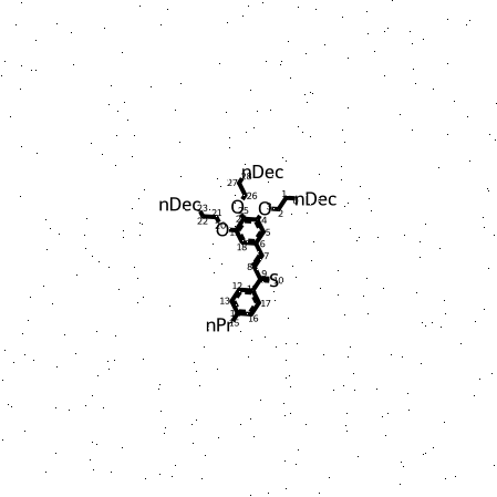 CCCCCCCCCCCCOc1cc(C=CC(=S)c2ccc(CCC)cc2)cc(OCCCCCCCCCCCC)c1OCCCCCCCCCCCC